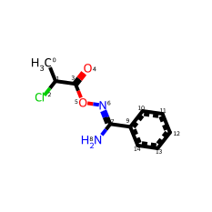 CC(Cl)C(=O)O/N=C(\N)c1ccccc1